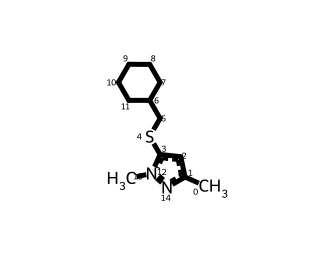 Cc1cc(SCC2CCCCC2)n(C)n1